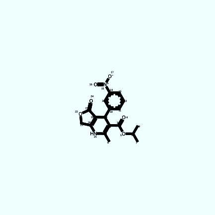 CC1=C(C(=O)OC(C)C)C(c2cccc([N+](=O)[O-])c2)C2=C(COC2=O)N1